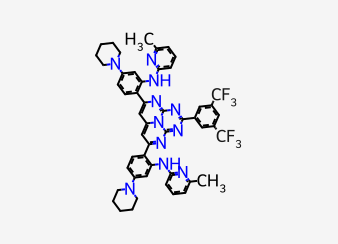 Cc1cccc(Nc2cc(N3CCCCC3)ccc2C2=CC3=CC(c4ccc(N5CCCCC5)cc4Nc4cccc(C)n4)=NC4=NC(c5cc(C(F)(F)F)cc(C(F)(F)F)c5)=NC(=N2)N34)n1